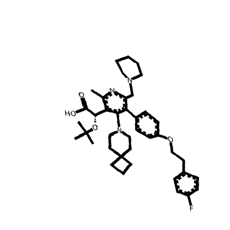 Cc1nc(CN2CCCCC2)c(-c2ccc(OCCc3ccc(F)cc3)cc2)c(N2CCC3(CCC3)CC2)c1[C@H](OC(C)(C)C)C(=O)O